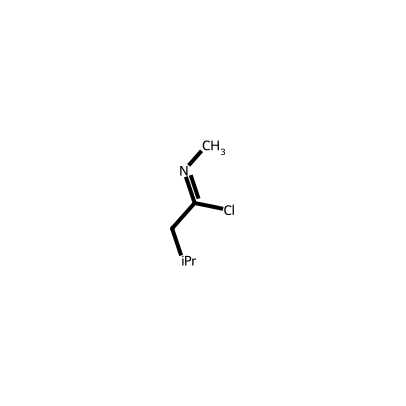 CN=C(Cl)CC(C)C